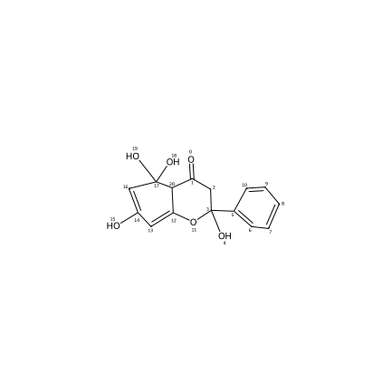 O=C1CC(O)(c2ccccc2)OC2=CC(O)=CC(O)(O)C12